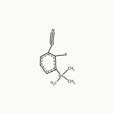 [CH3][Sn]([CH3])([CH3])[c]1cccc(C#N)c1F